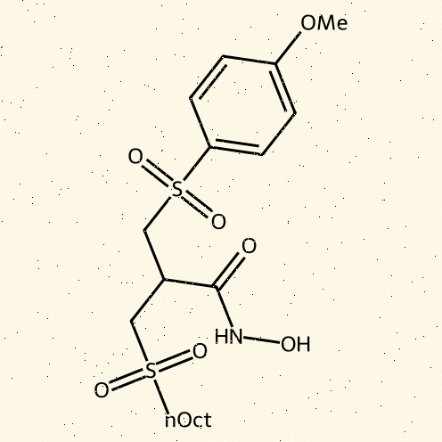 CCCCCCCCS(=O)(=O)CC(CS(=O)(=O)c1ccc(OC)cc1)C(=O)NO